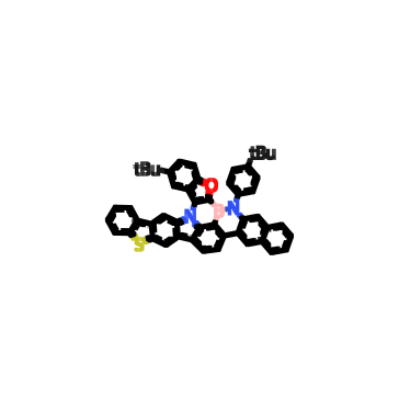 CC(C)(C)c1ccc(N2B3c4oc5ccc(C(C)(C)C)cc5c4-n4c5cc6c(cc5c5ccc(c3c54)-c3cc4ccccc4cc32)sc2ccccc26)cc1